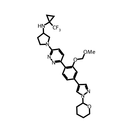 COCOc1cc(-c2cnn(C3CCCCO3)c2)ccc1-c1ccc(N2CCC(NC3(C(F)(F)F)CC3)C2)nn1